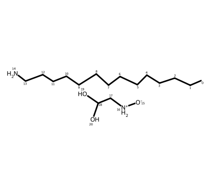 CCCCCCCCCCCCCCN.[O-][NH2+]CC(O)O